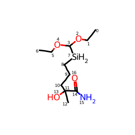 CCOC(OCC)[SiH2]CCCC(C)(O)C(N)=O